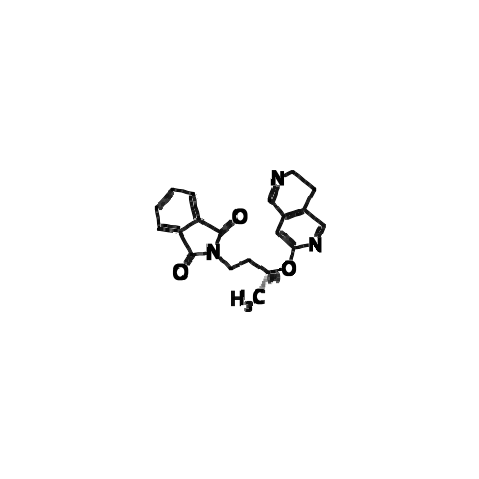 C[C@H](CCN1C(=O)c2ccccc2C1=O)Oc1cc2c(cn1)CCN=C2